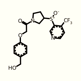 O=C(COc1ccc(CO)cc1)N1CCC([S+]([O-])c2cnccc2C(F)(F)F)C1